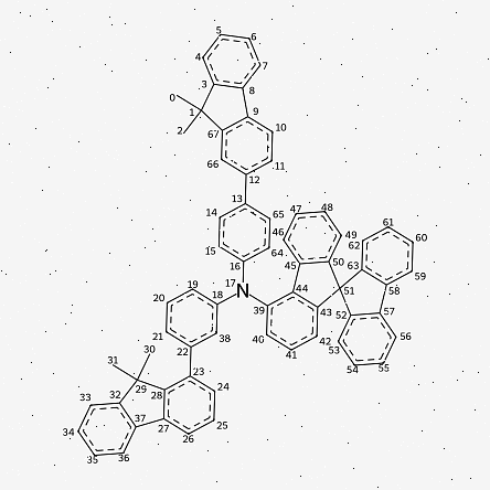 CC1(C)c2ccccc2-c2ccc(-c3ccc(N(c4cccc(-c5cccc6c5C(C)(C)c5ccccc5-6)c4)c4cccc5c4-c4ccccc4C54c5ccccc5-c5ccccc54)cc3)cc21